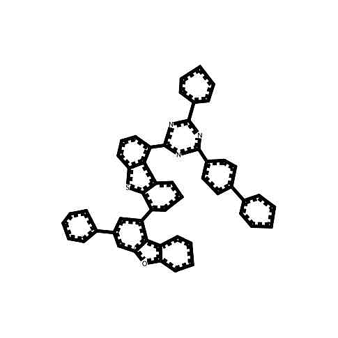 c1ccc(-c2ccc(-c3nc(-c4ccccc4)nc(-c4cccc5sc6c(-c7cc(-c8ccccc8)cc8oc9ccccc9c78)cccc6c45)n3)cc2)cc1